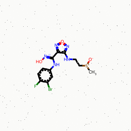 C[S+]([O-])CCNc1nonc1/C(=N/O)Nc1ccc(F)c(Br)c1